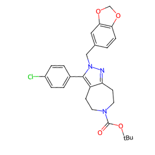 CC(C)(C)OC(=O)N1CCc2nn(Cc3ccc4c(c3)OCO4)c(-c3ccc(Cl)cc3)c2CC1